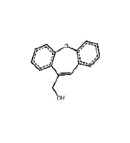 OCC1=Cc2ccccc2Oc2ccccc21